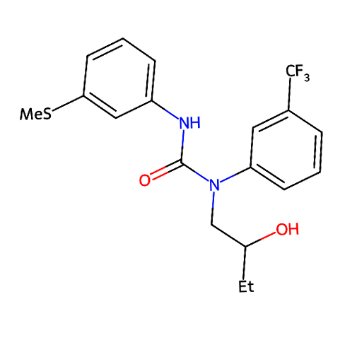 CCC(O)CN(C(=O)Nc1cccc(SC)c1)c1cccc(C(F)(F)F)c1